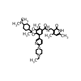 CCN1CCN(c2ccc(-c3cc(C(=O)NCc4c(C)cc(C)[nH]c4=O)c(C)c4c3OC(C)(C3CCC(N(C)C)CC3)O4)cn2)CC1